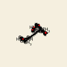 Cc1c(-c2ccc(N3CCc4cccc(C(=O)Nc5nc6ccccc6s5)c4C3)nc2C(=O)NCCCCCCCCCCCC(=O)Nc2ccc3c(C4CCC(=O)NC4=O)nn(C)c3c2)cnn1CC12CC3CC(CC(C3)C1)C2